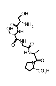 C[C@H](NC(=O)CNC(=O)[C@H](CO)NC(=O)[C@@H](N)CO)C(=O)N1CCC[C@H]1C(=O)O